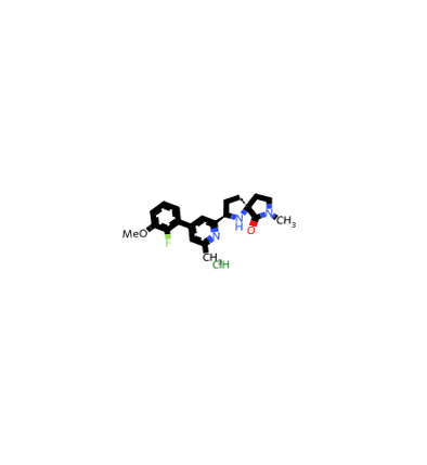 COc1cccc(-c2cc(C)nc([C@H]3CC[C@@]4(CCN(C)C4=O)N3)c2)c1F.Cl